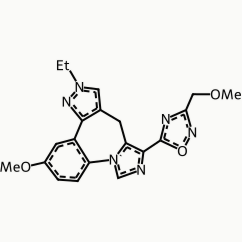 CCn1cc2c(n1)-c1cc(OC)ccc1-n1cnc(-c3nc(COC)no3)c1C2